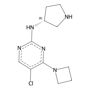 Clc1cnc(N[C@@H]2CCNC2)nc1N1CCC1